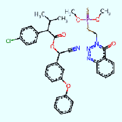 CC(C)C(C(=O)OC(C#N)c1cccc(Oc2ccccc2)c1)c1ccc(Cl)cc1.COP(=S)(OC)SCn1nnc2ccccc2c1=O